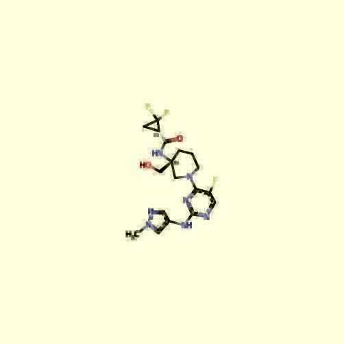 Cn1cc(Nc2ncc(F)c(N3CCC[C@@](CO)(NC(=O)[C@@H]4CC4(F)F)C3)n2)cn1